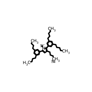 CCCCCc1cc(CCCCC)cc(C2=C(CCCC)C=C(c3cc(CCCC)cc(CCCC)c3)[N+]2=[N-])c1.[Ni]